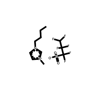 CCCCn1cc[n+](C)c1.O=S(=O)([O-])C(F)(F)C(F)(F)C(F)F